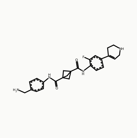 NCc1ccc(NC(=O)C23CC(C(=O)Nc4ccc(C5=CCNCC5)cc4F)(C2)C3)cc1